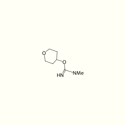 CNC(=N)OC1CCOCC1